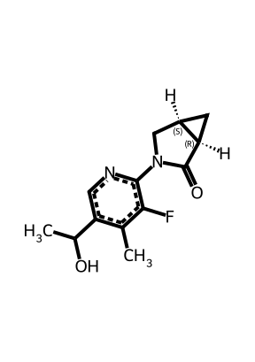 Cc1c(C(C)O)cnc(N2C[C@H]3C[C@H]3C2=O)c1F